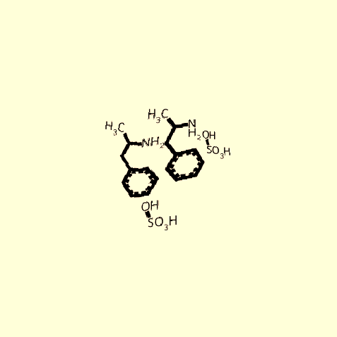 CC(N)Cc1ccccc1.CC(N)Cc1ccccc1.O=S(=O)(O)O.O=S(=O)(O)O